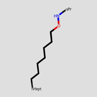 CCCCCCCCCCCCCCONCCC